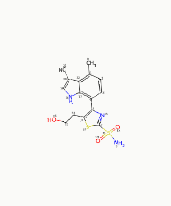 Cc1ccc(-c2nc(S(N)(=O)=O)sc2CCO)c2[nH]cc(C#N)c12